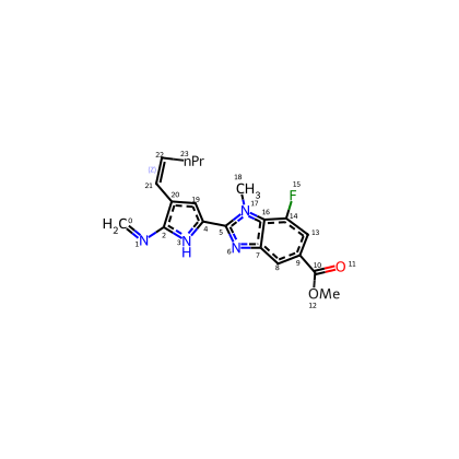 C=Nc1[nH]c(-c2nc3cc(C(=O)OC)cc(F)c3n2C)cc1/C=C\CCC